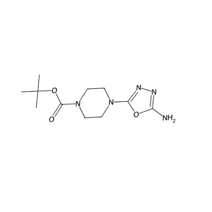 CC(C)(C)OC(=O)N1CCN(c2nnc(N)o2)CC1